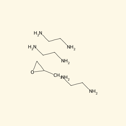 CC1CO1.NCCN.NCCN.NCCN